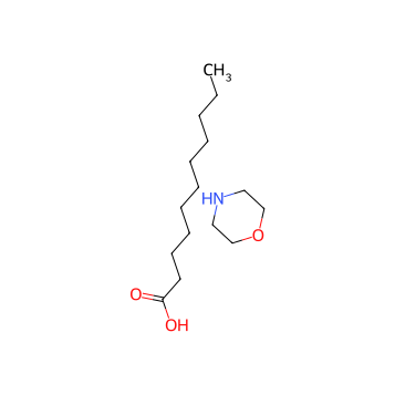 C1COCCN1.CCCCCCCCCCC(=O)O